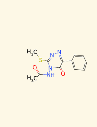 CSc1nnc(-c2ccccc2)c(=O)n1NC(C)=O